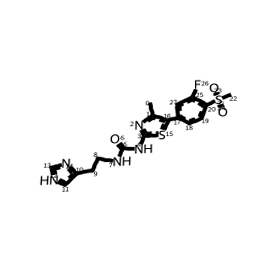 Cc1nc(NC(=O)NCCc2c[nH]cn2)sc1-c1ccc(S(C)(=O)=O)c(F)c1